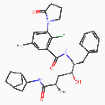 C[C@H](C[C@H](O)[C@H](Cc1ccccc1)NC(=O)c1cc(C(F)(F)F)cc(N2CCCC2=O)c1F)C(=O)NC1CC2CCC1C2